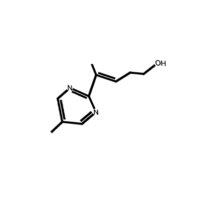 C/C(=C\CCO)c1ncc(C)cn1